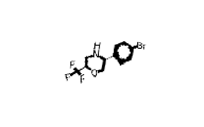 FC(F)(F)[C@H]1CN[C@H](c2ccc(Br)cc2)CO1